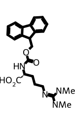 CNC(=NCCC[C@@H](NC(=O)OCC1c2ccccc2-c2ccccc21)C(=O)O)NC